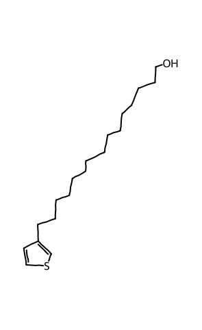 OCCCCCCCCCCCCCCCc1ccsc1